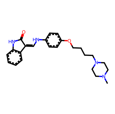 CN1CCN(CCCCOc2ccc(NC=C3C(=O)Nc4ccccc43)cc2)CC1